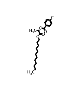 CCCCCCCCCCCCOC(=O)C(C)OC(=O)c1c[c]c(Cl)cc1